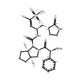 CC(=O)N[C@H](C(=O)N1C[C@H]2CCC[C@H]2[C@H]1C(=O)N[C@@H](/C=C(/F)S(C)(=O)=O)C[C@H]1CCNC1=O)c1ccccc1